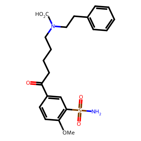 COc1ccc(C(=O)CCCCN(CCc2ccccc2)C(=O)O)cc1S(N)(=O)=O